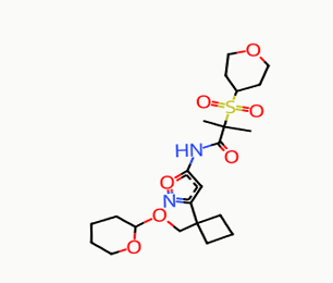 CC(C)(C(=O)Nc1cc(C2(COC3CCCCO3)CCC2)no1)S(=O)(=O)C1CCOCC1